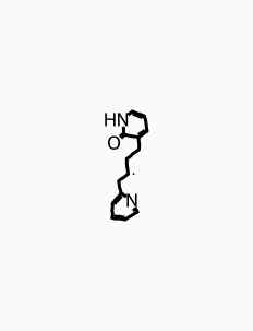 O=c1[nH]cccc1CC[CH]Cc1ccccn1